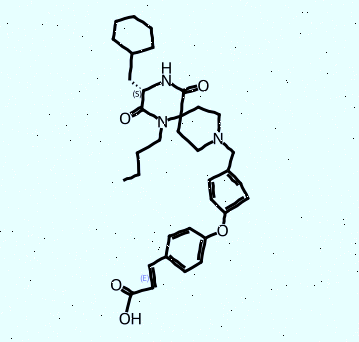 CCCCN1C(=O)[C@H](CC2CCCCC2)NC(=O)C12CCN(Cc1ccc(Oc3ccc(/C=C/C(=O)O)cc3)cc1)CC2